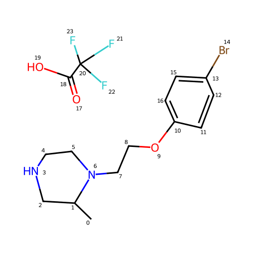 CC1CNCCN1CCOc1ccc(Br)cc1.O=C(O)C(F)(F)F